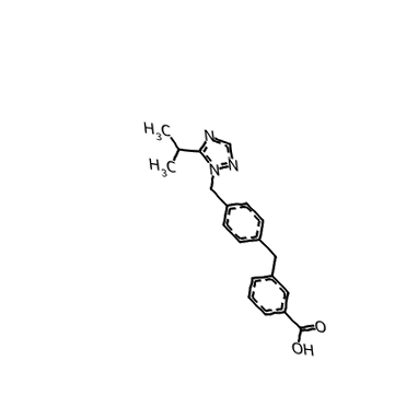 CC(C)c1ncnn1Cc1ccc(Cc2cccc(C(=O)O)c2)cc1